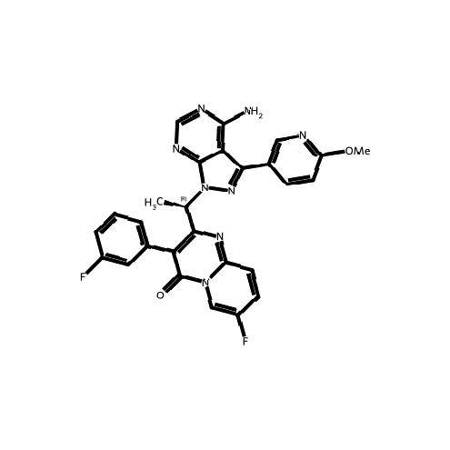 COc1ccc(-c2nn([C@H](C)c3nc4ccc(F)cn4c(=O)c3-c3cccc(F)c3)c3ncnc(N)c23)cn1